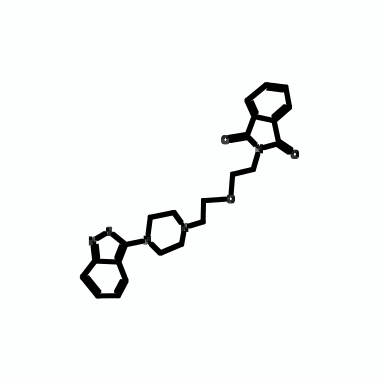 O=C1c2ccccc2C(=O)N1CCOCCN1CCN(c2snc3ccccc23)CC1